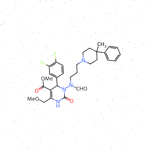 COCC1=C(C(=O)OC)C(c2ccc(F)c(F)c2)N(N(C=O)CCCN2CCC(C)(c3ccccc3)CC2)C(=O)N1